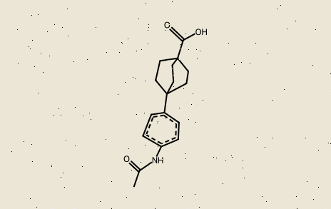 CC(=O)Nc1ccc(C23CCC(C(=O)O)(CC2)CC3)cc1